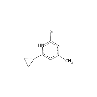 Cc1cc(C2CC2)[nH]c(=S)c1